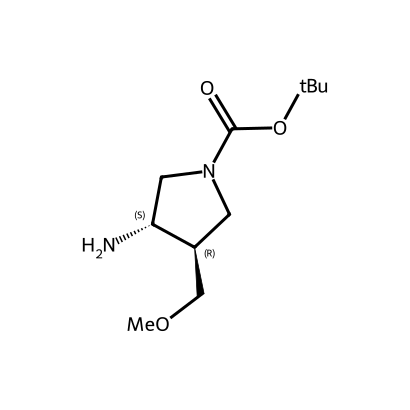 COC[C@@H]1CN(C(=O)OC(C)(C)C)C[C@H]1N